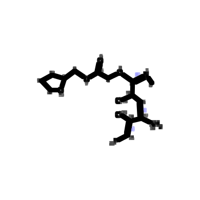 C/N=C(/OCC(=O)OCC1CCCO1)C(Cl)/C=C(N)\C(Cl)=C\F